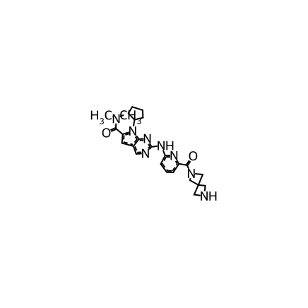 CN(C)C(=O)c1cc2cnc(Nc3cccc(C(=O)N4CC5(CNC5)C4)n3)nc2n1C1CCCC1